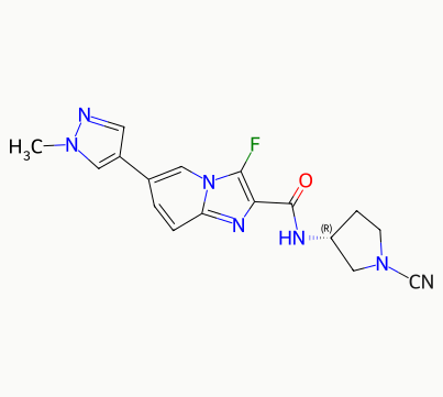 Cn1cc(-c2ccc3nc(C(=O)N[C@@H]4CCN(C#N)C4)c(F)n3c2)cn1